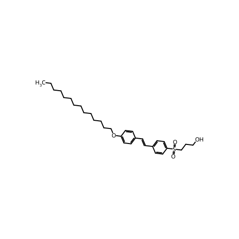 CCCCCCCCCCCCCCOc1ccc(C=Cc2ccc(S(=O)(=O)CCCO)cc2)cc1